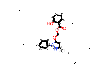 Cc1cc(OCOC(=O)c2ccccc2O)n(-c2ccccc2)n1